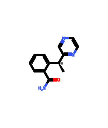 C[C@H](c1cnccn1)c1ccccc1C(N)=O